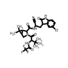 CC(C)(C)C(NC(=O)C(F)(F)F)C(=O)N1CC2C(C1C(=O)NC(C#N)CC1C(=O)Nc3ccc(Cl)cc31)C2(C)C